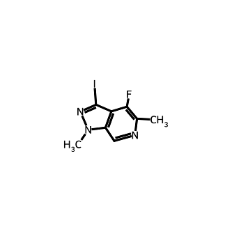 Cc1ncc2c(c(I)nn2C)c1F